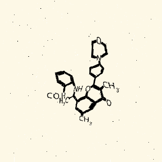 Cc1cc([C@@H](C)Nc2ccccc2C(=O)O)c2oc(-c3ccc(N4CCOCC4)cc3)c(C)c(=O)c2c1